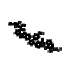 CCOc1ccc(N2[C@@H](c3ccc4nc([C@@H]5CCCN5C(=O)[C@@H](NC(=O)O)C(C)C)[nH]c4c3)CC[C@@H]2c2ccc3nc([C@@H]4CCCN4C(=O)[C@@H](NC(=O)OC)C(C)C)[nH]c3c2)cn1